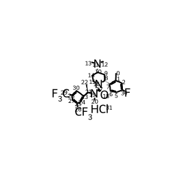 Cc1cc(F)ccc1[C@H]1C[C@@H](N(C)C)CCN1C(=O)N(C)[C@H](C)c1cc(C(F)(F)F)cc(C(F)(F)F)c1.Cl